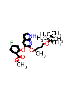 COC(=O)c1ccc(F)cc1Oc1cc2cc[nH]c2nc1O[C@@H](C)CCCO[Si](C)(C)C(C)(C)C